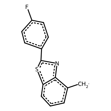 [CH2]c1cccc2sc(-c3ccc(F)cc3)nc12